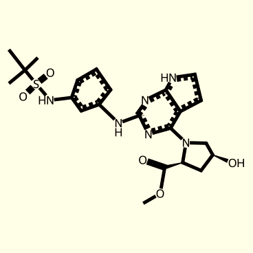 COC(=O)[C@@H]1C[C@H](O)CN1c1nc(Nc2cccc(NS(=O)(=O)C(C)(C)C)c2)nc2[nH]ccc12